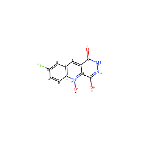 O=c1[nH]nc(O)c2c1cc1cc(F)ccc1[n+]2[O-]